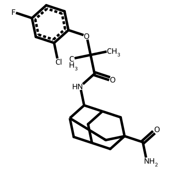 CC(C)(Oc1ccc(F)cc1Cl)C(=O)NC1C2CC3CC1CC(C(N)=O)(C3)C2